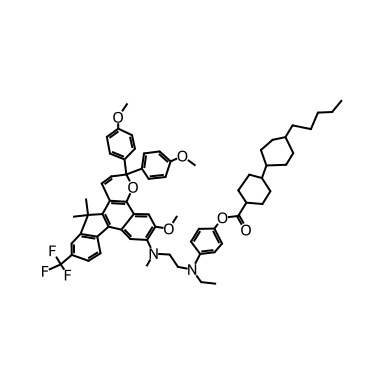 CCCCCC1CCC(C2CCC(C(=O)Oc3ccc(N(CC)CCN(C)c4cc5c6c(c7c(c5cc4OC)OC(c4ccc(OC)cc4)(c4ccc(OC)cc4)C=C7)C(C)(C)c4cc(C(F)(F)F)ccc4-6)cc3)CC2)CC1